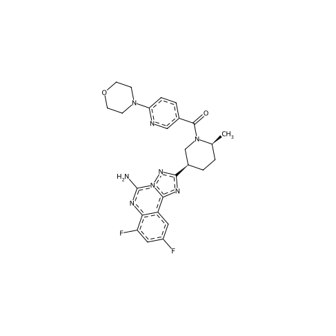 C[C@H]1CC[C@@H](c2nc3c4cc(F)cc(F)c4nc(N)n3n2)CN1C(=O)c1ccc(N2CCOCC2)nc1